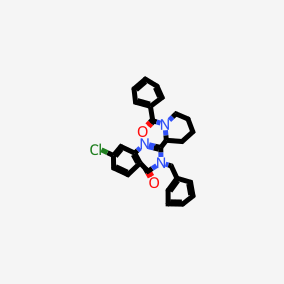 O=C(c1ccccc1)N1CCCCC1c1nc2cc(Cl)ccc2c(=O)n1Cc1ccccc1